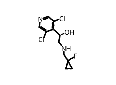 O[C@@H](CNCC1(F)CC1)c1c(Cl)cncc1Cl